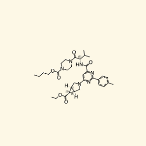 CCCCOC(=O)N1CCN(C(=O)[C@@H](NC(=O)c2cc(N3C[C@@H]4[C@H](C3)[C@@H]4C(=O)OCC)nc(-c3ccc(C)cc3)n2)C(C)C)CC1